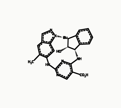 CC[C@@H](C)n1ncc2cc(C)c(Nc3ncc(C(=O)O)c(N[C@H]4c5ccccc5C[C@H]4O)n3)cc21